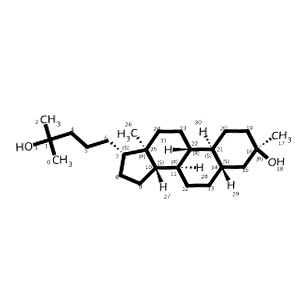 CC(C)(O)CCC[C@H]1CC[C@H]2[C@@H]3CC[C@H]4C[C@](C)(O)CC[C@@H]4[C@H]3CC[C@]12C